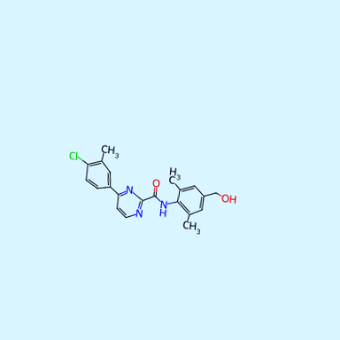 Cc1cc(-c2ccnc(C(=O)Nc3c(C)cc(CO)cc3C)n2)ccc1Cl